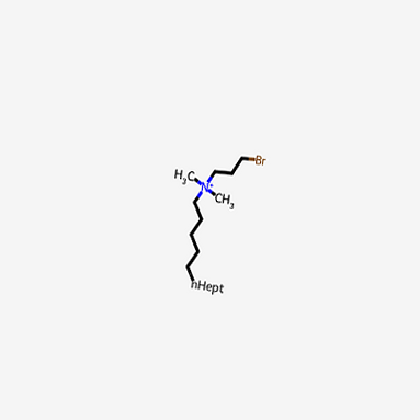 CCCCCCCCCCCC[N+](C)(C)CCCBr